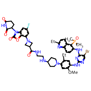 CCc1ccc2c(P(C)(C)=O)c(Nc3nc(Nc4cc(CC)c(N5CCC(NCCNC(=O)C6CN(c7cc(F)cc8c7oc(=O)n8C7CCC(=O)NC7=O)C6)CC5)cc4OC)ncc3Br)ccc2n1